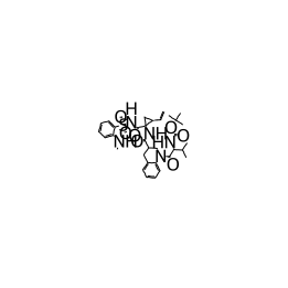 C=C[C@@H]1C[C@]1(NC(=O)C1Cc2ccccc2N(C(=O)[C@@H](NC(=O)OC(C)(C)C)C(C)C)C1)C(=O)NS(=O)(=O)c1ccccc1NC